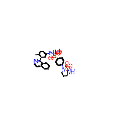 Cc1ccc(NS(=O)(=O)c2ccc(N3CCCNS3(=O)=O)cc2)cc1-c1nccc2ccccc12